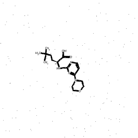 CC(C)(C)CC[C@H](Nc1nccc(N2CCOCC2)n1)C(=O)O